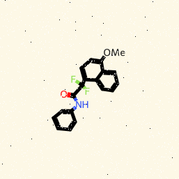 COc1ccc(C(F)(F)C(=O)Nc2ccccc2)c2ccccc12